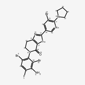 Nc1c(F)cc(Br)c(N2CCc3nc(-c4cnc(N5CCCC5)c(Br)c4)sc3C2=O)c1Br